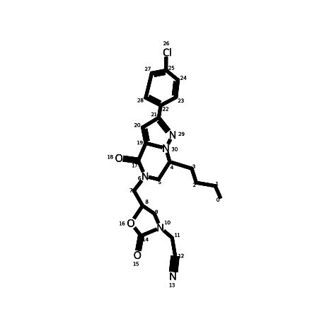 CCCCC1CN(CC2CN(CC#N)C(=O)O2)C(=O)c2cc(-c3ccc(Cl)cc3)nn21